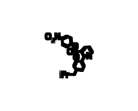 CC(C)Cc1ccc(-c2ncccc2S(=O)(=O)Oc2ccc([N+](=O)[O-])cc2)cc1